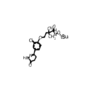 CC(C)(C)ONC(=O)C(C)(C)CCOc1ccc(C2=NNC(=O)CC2)cc1Cl